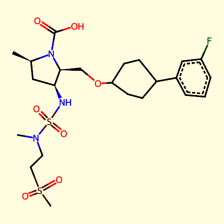 C[C@@H]1C[C@H](NS(=O)(=O)N(C)CCS(C)(=O)=O)[C@H](COC2CCC(c3cccc(F)c3)CC2)N1C(=O)O